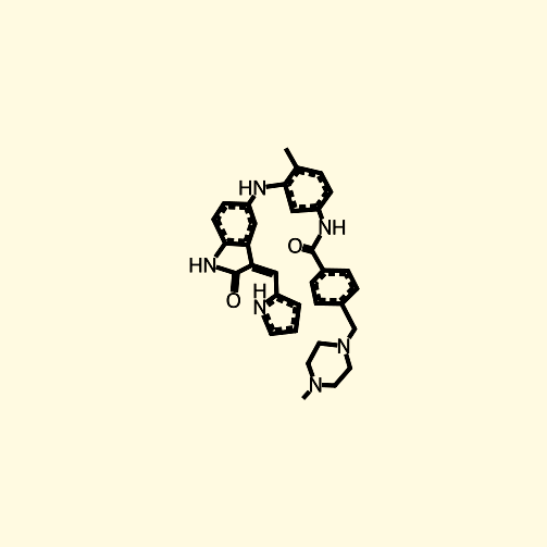 Cc1ccc(NC(=O)c2ccc(CN3CCN(C)CC3)cc2)cc1Nc1ccc2c(c1)C(=Cc1ccc[nH]1)C(=O)N2